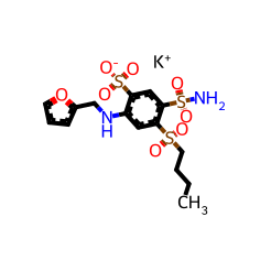 CCCCS(=O)(=O)c1cc(NCc2ccco2)c(S(=O)(=O)[O-])cc1S(N)(=O)=O.[K+]